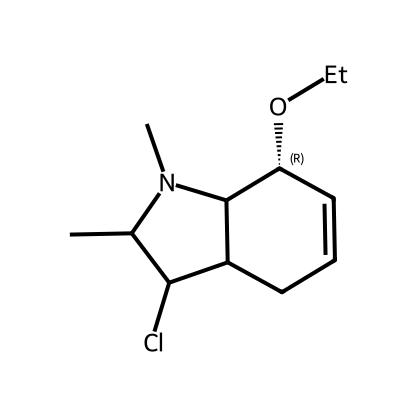 CCO[C@@H]1C=CCC2C(Cl)C(C)N(C)C21